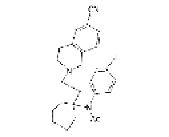 CC(=O)N(c1ccc(I)cc1)C1(CCN2CCc3cc(C#N)ccc3C2)CCCCC1